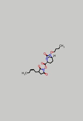 CC/C=C\CC1CC(=O)N(OC(=O)[C@@H]2CC[C@H]3CN2C(=O)N3OCCCC)C1=O